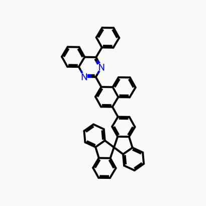 c1ccc(-c2nc(-c3ccc(-c4ccc5c(c4)C4(c6ccccc6-c6ccccc64)c4ccccc4-5)c4ccccc34)nc3ccccc23)cc1